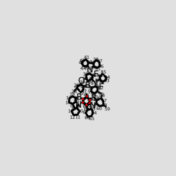 Cc1cc(C)c2c(c1)-n1c3ccccc3c3cccc(c31)B2c1cc2c(cc1C)Oc1cc(-n3c4ccccc4c4ccccc43)cc3c1B2c1cc(B2c4c(C)cc(C)cc4-n4c5ccccc5c5cccc2c54)c(C)cc1N3c1c(F)cccc1F